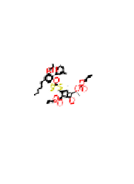 C=CCOC(=O)O[C@H](C)[C@H]1C(=O)C2C(C(=O)OCC=C)=C(CSC(=S)Oc3cc(CCCCC)cc(O)c3[C@@H]3C=C(C)CC[C@H]3C(=C)C)[C@H](C)C21